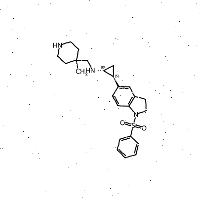 CC1(CN[C@@H]2C[C@H]2c2ccc3c(c2)CCN3S(=O)(=O)c2ccccc2)CCNCC1